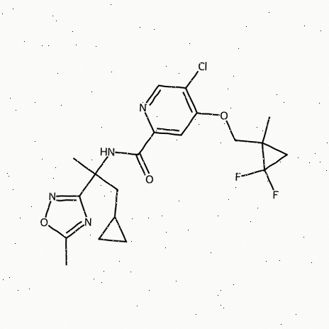 Cc1nc(C(C)(CC2CC2)NC(=O)c2cc(OCC3(C)CC3(F)F)c(Cl)cn2)no1